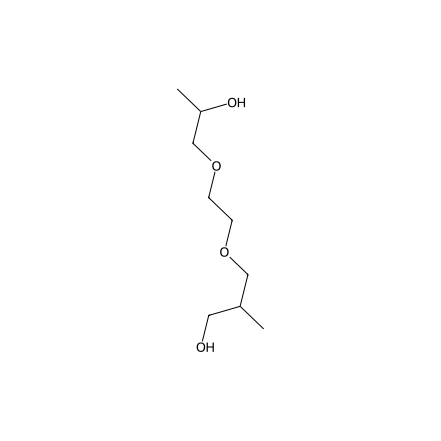 CC(O)COCCOCC(C)CO